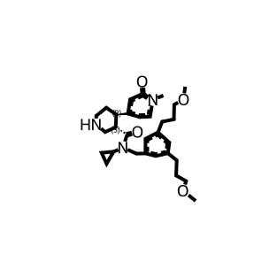 COCCCc1cc(CCCOC)cc(CN(C(=O)[C@@H]2CNCC[C@H]2c2ccn(C)c(=O)c2)C2CC2)c1